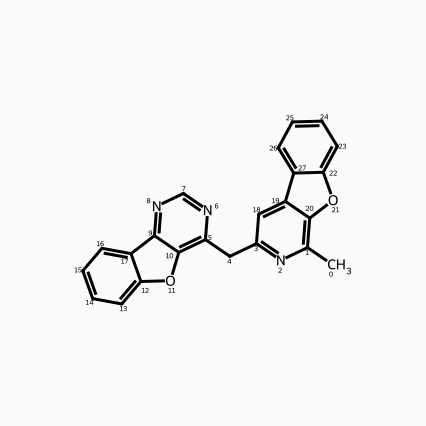 Cc1nc(Cc2ncnc3c2oc2ccccc23)cc2c1oc1ccccc12